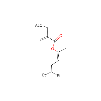 C=C(COC(C)=O)C(=O)O/C(C)=C\CC(CC)CC